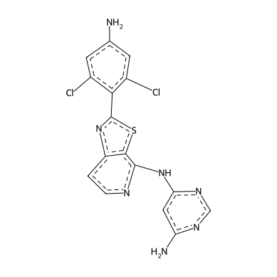 Nc1cc(Cl)c(-c2nc3ccnc(Nc4cc(N)ncn4)c3s2)c(Cl)c1